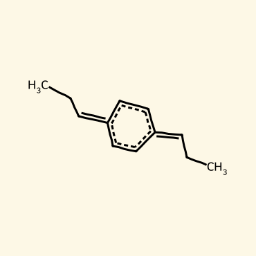 CCC=c1ccc(=CCC)cc1